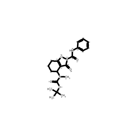 CN(C(=O)OC(C)(C)C)C1CCCc2on(C(=O)Nc3ccccc3)c(=O)c21